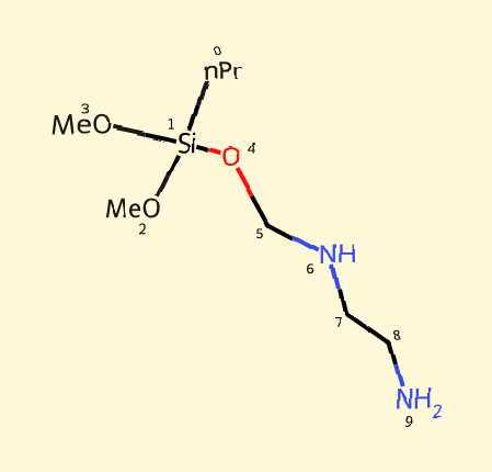 CCC[Si](OC)(OC)OCNCCN